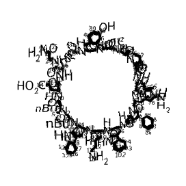 CCCC[C@H]1C(=O)N(C)[C@@H](CCCC)C(=O)N[C@@H](CCC(=O)O)C(=O)N[C@H](C(=O)NCC(N)=O)CSCC(=O)N[C@@H](Cc2ccc(O)cc2)C(=O)N(C)[C@@H](C)C(=O)N[C@@H](CC(=O)O)C(=O)N2CCC[C@H]2C(=O)N[C@@H](Cc2c[nH]cn2)C(=O)N[C@@H](CCCCN)C(=O)N2C[C@H](c3ccccc3)C[C@H]2C(=O)N[C@@H](Cc2c[nH]c3ccccc23)C(=O)N[C@@H](CCCCN)C(=O)N[C@@H](Cc2c[nH]c3ccccc23)C(=O)N1C